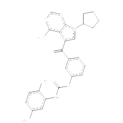 COc1ccc(OC)c(NC(=O)Nc2cccc(C(=O)c3cn(C4CCCC4)c4ncnc(N)c34)c2)c1